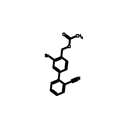 CC(=O)OCc1ccc(-c2ccccc2C#N)cc1Br